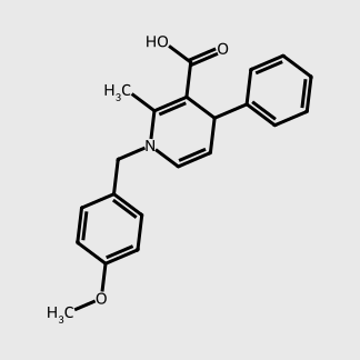 COc1ccc(CN2C=CC(c3ccccc3)C(C(=O)O)=C2C)cc1